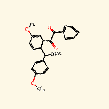 CCOC1=CC(C(=O)C(=O)c2ccccc2)C(C(OC)c2ccc(OC(F)(F)F)cc2)C=C1